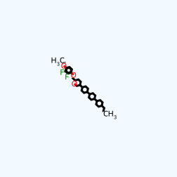 CCCC1CCC(C2CCC(C3CCC(C4CCC(COc5ccc(OCC)c(F)c5F)OC4)CC3)CC2)CC1